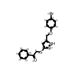 O=C(CSc1cc(COc2ccc(Br)cc2)[nH]n1)c1ccccc1